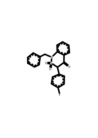 O=C1c2ccccc2N(Cc2ccccc2)S(=O)(=O)C1c1ccc(F)cc1